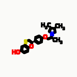 C[C@H]1CN([C@@H](C)COc2ccc([C@H]3CSc4cc(O)ccc4O3)cc2)C[C@@H]1C